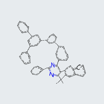 CC1(C)c2cc3ccccc3cc2-c2c(-c3cccc(-c4cccc(-c5cc(-c6ccccc6)cc(-c6ccccc6)c5)c4)c3)nc(-c3ccccc3)nc21